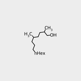 CCCCCCCCCC(C)CCC(C)CO